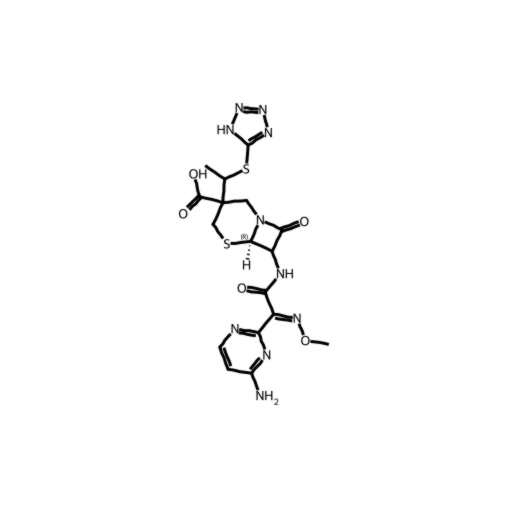 CON=C(C(=O)NC1C(=O)N2CC(C(=O)O)(C(C)Sc3nnn[nH]3)CS[C@H]12)c1nccc(N)n1